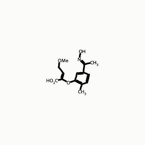 COCC=C(Oc1cc(C(C)=NO)ccc1C)C(=O)O